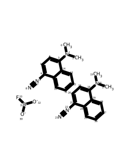 CN(C)c1ccc([N+]#N)c2ccccc12.CN(C)c1ccc([N+]#N)c2ccccc12.[O-]B([O-])F